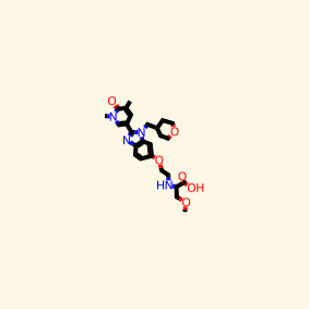 COCC(NCCOc1ccc2nc(-c3cc(C)c(=O)n(C)c3)n(CC3CCOCC3)c2c1)C(=O)O